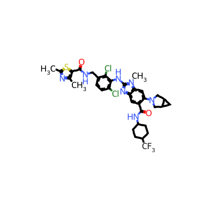 Cc1nc(C)c(C(=O)NCc2ccc(Cl)c(Nc3nc4cc(C(=O)NC5CCC(C(F)(F)F)CC5)c(N5CC6CC6C5)cc4n3C)c2Cl)s1